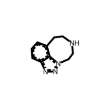 c1cc2c3c(c1)nnn3CCNCC2